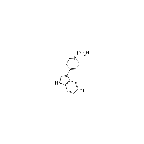 O=C(O)N1CC=C(c2c[nH]c3ccc(F)cc23)CC1